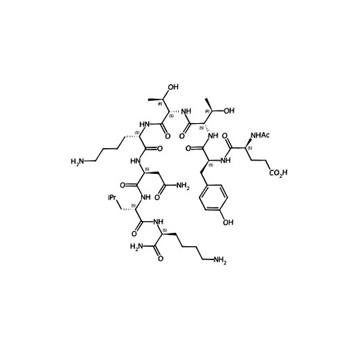 CC(=O)N[C@@H](CCC(=O)O)C(=O)N[C@@H](Cc1ccc(O)cc1)C(=O)N[C@H](C(=O)N[C@H](C(=O)N[C@@H](CCCCN)C(=O)N[C@@H](CC(N)=O)C(=O)N[C@@H](CC(C)C)C(=O)N[C@@H](CCCCN)C(N)=O)[C@@H](C)O)[C@@H](C)O